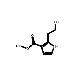 CC(C)(C)OC(=O)c1cc[nH]c1CCO